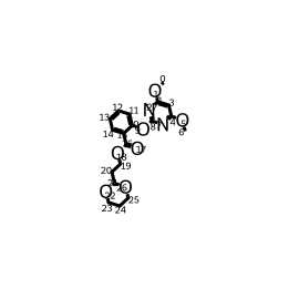 COc1cc(OC)nc(Oc2ccccc2C(=O)OCCC2OCCCO2)n1